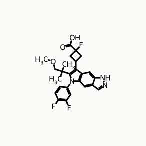 COCC(C)(C)c1c(C2CC(F)(C(=O)O)C2)c2cc3[nH]ncc3cc2n1-c1ccc(F)c(F)c1